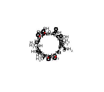 CCCC[C@H]1C(=O)N(C)CC(=O)N[C@@H](CC(=O)O)C(=O)N[C@@H](C(C)C)C(=O)N[C@@H](Cc2ccc(C)cc2)C(=O)N[C@@H](Cc2ccc(O)cc2)C(=O)N(C)CC(=O)N[C@@H](Cc2c[nH]c3ccccc23)C(=O)NC(Cc2ccc(O)cc2)C(=O)N[C@@H](CC(C)C)C(=O)N[C@H](C(=O)NCC(N)=O)CSCC(=O)N[C@@H](Cc2ccccc2)C(=O)N(C)[C@@H](Cc2ccccc2)C(=O)N1C